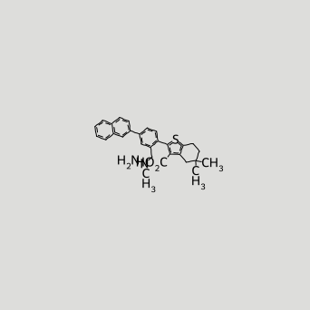 CN(N)Cc1cc(-c2ccc3ccccc3c2)ccc1-c1sc2c(c1C(=O)O)CC(C)(C)CC2